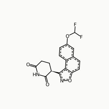 O=C1CC[C@@H](c2noc3ccc4cc(OC(F)F)ccc4c23)C(=O)N1